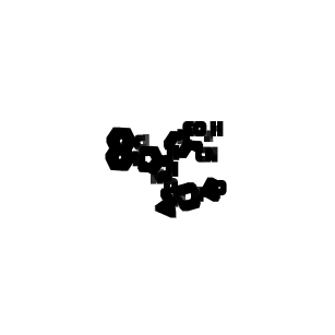 N#CCC1CN(c2nc(OCC3(N4CCN(C5COC5)CC4)CC3)nc3c2CCN(c2cccc4cccc(Cl)c24)C3)CCN1C(=O)O